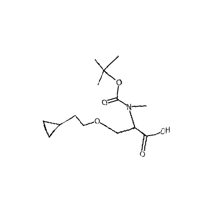 CN(C(=O)OC(C)(C)C)C(COCCC1CC1)C(=O)O